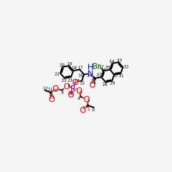 CC(=O)OCOP(=O)(OCOC(C)=O)OCC(Cc1ccccc1)NC(=O)c1ccc2ccccc2c1Br